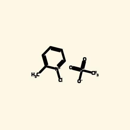 Cc1cccc[n+]1Cl.O=S(=O)([O-])C(F)(F)F